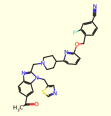 CC(=O)c1ccc2nc(CN3CCC(c4cccc(OCc5ccc(C#N)cc5F)n4)CC3)n(Cc3cncs3)c2c1